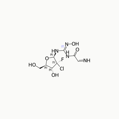 N=CC(=O)N/C(=N\O)N[C@@H]1O[C@H](CO)[C@@H](O)[C@]1(F)Cl